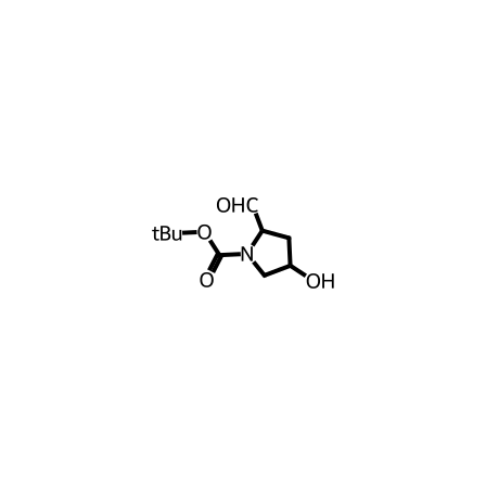 CC(C)(C)OC(=O)N1CC(O)CC1C=O